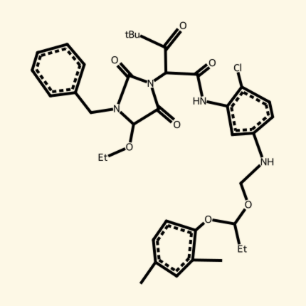 CCOC1C(=O)N(C(C(=O)Nc2cc(NCOC(CC)Oc3ccc(C)cc3C)ccc2Cl)C(=O)C(C)(C)C)C(=O)N1Cc1ccccc1